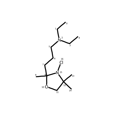 CCN(CC)CCCC1(C)OCC(C)(C)N1Cl